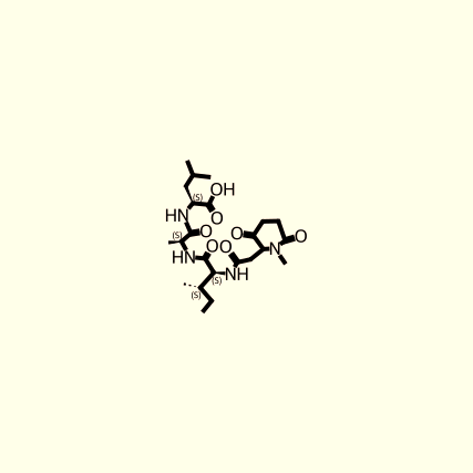 CC[C@H](C)[C@H](NC(=O)CC1C(=O)CCC(=O)N1C)C(=O)N[C@@H](C)C(=O)N[C@@H](CC(C)C)C(=O)O